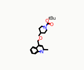 Cc1cc(COCC2CCN(C(=O)OC(C)(C)C)CC2)c2ccccc2n1